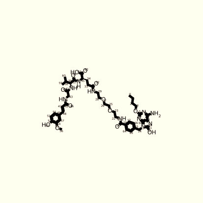 CCCCOc1nc(N)c2nc(O)n(Cc3ccc(C(=O)NCCOCCOCCNC(=O)CC[C@@H](NC(=O)[C@@H](NC(=O)CNC(=O)/C=C/c4ccc(O)c(OC)c4)C(C)C)C(=O)O)cc3)c2n1